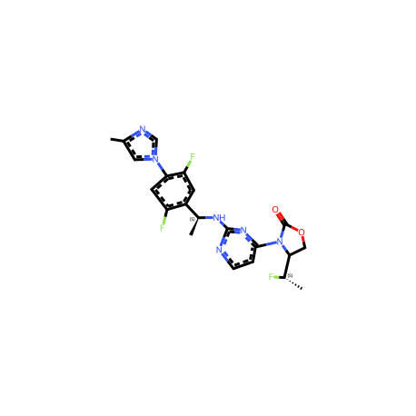 Cc1cn(-c2cc(F)c([C@H](C)Nc3nccc(N4C(=O)OCC4[C@H](C)F)n3)cc2F)cn1